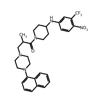 CC(CN1CCN(c2cccc3ccccc23)CC1)C(=O)N1CCC(Nc2ccc([N+](=O)[O-])c(C(F)(F)F)c2)CC1